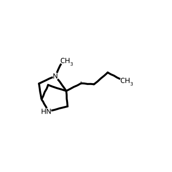 CCC[CH]C12CNC(CN1C)C2